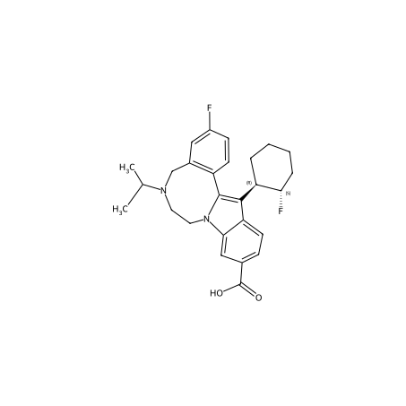 CC(C)N1CCn2c(c([C@H]3CCCC[C@@H]3F)c3ccc(C(=O)O)cc32)-c2ccc(F)cc2C1